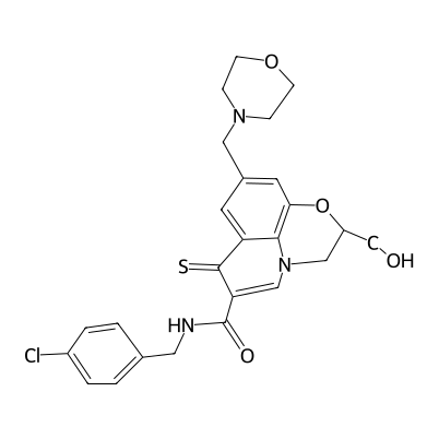 O=C(NCc1ccc(Cl)cc1)c1cn2c3c(cc(CN4CCOCC4)cc3c1=S)OC(CO)C2